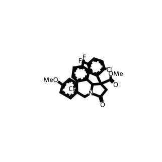 COC(=O)C1(c2cc(F)ccc2Cl)CC(=O)N(Cc2ccc(OC)cc2)C1c1cc(F)ccc1Cl